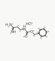 Cl.N=C(N)CCNC(=O)OCc1ccccc1